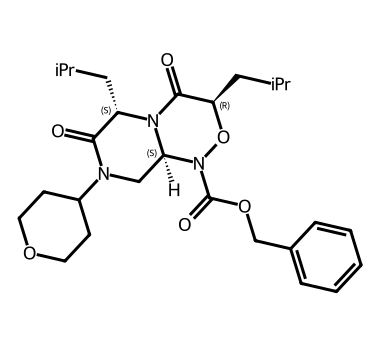 CC(C)C[C@H]1ON(C(=O)OCc2ccccc2)[C@H]2CN(C3CCOCC3)C(=O)[C@H](CC(C)C)N2C1=O